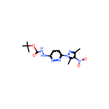 Cc1nn(-c2ccc(NNC(=O)OC(C)(C)C)nn2)c(C)c1[N+](=O)[O-]